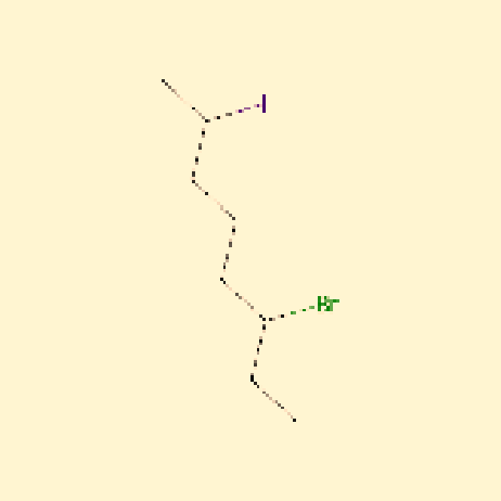 CCC(Br)CCCC(C)I